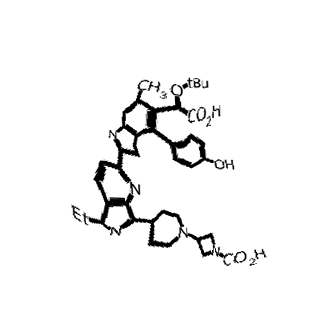 CCC1N=C(C2CCN(C3CN(C(=O)O)C3)CC2)c2nc(C3=Nc4cc(C)c(C(OC(C)(C)C)C(=O)O)c(-c5ccc(O)cc5)c4C3)ccc21